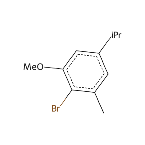 COc1cc(C(C)C)cc(C)c1Br